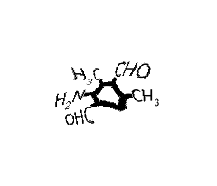 Cc1cc(C=O)c(N)c(C)c1C=O